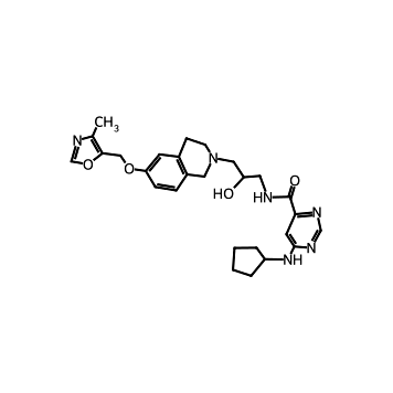 Cc1ncoc1COc1ccc2c(c1)CCN(CC(O)CNC(=O)c1cc(NC3CCCC3)ncn1)C2